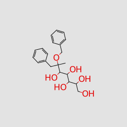 CC(Cc1ccccc1)(OCc1ccccc1)C(O)C(O)C(O)C(O)CO